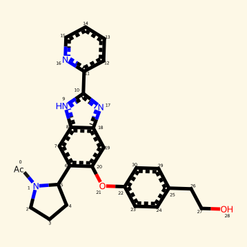 CC(=O)N1CCCC1c1cc2[nH]c(-c3ccccn3)nc2cc1Oc1ccc(CCO)cc1